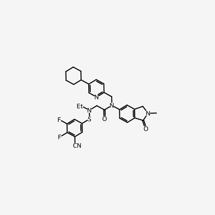 CCN(CC(=O)N(Cc1ccc(C2CCCCC2)cn1)c1ccc2c(c1)CN(C)C2=O)Sc1cc(F)c(F)c(C#N)c1